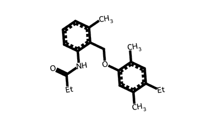 CCC(=O)Nc1cccc(C)c1COc1cc(C)c(CC)cc1C